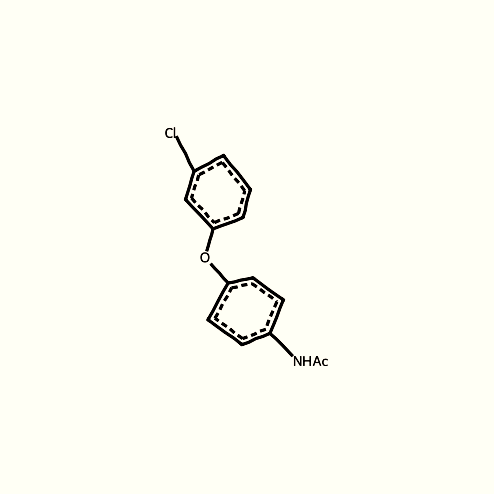 CC(=O)Nc1ccc(Oc2cccc(Cl)c2)cc1